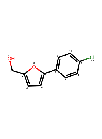 OCc1ccc(-c2ccc(Cl)cc2)o1